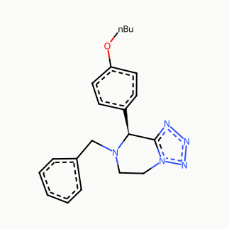 CCCCOc1ccc([C@H]2c3nnnn3CCN2Cc2ccccc2)cc1